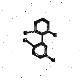 Clc1ccc(Cl)c(-c2c(Cl)cccc2Cl)c1